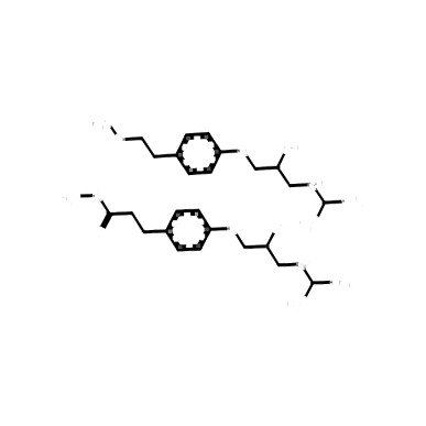 COC(=O)CCc1ccc(OCC(O)CNC(C)C)cc1.COCCc1ccc(OCC(O)CNC(C)C)cc1